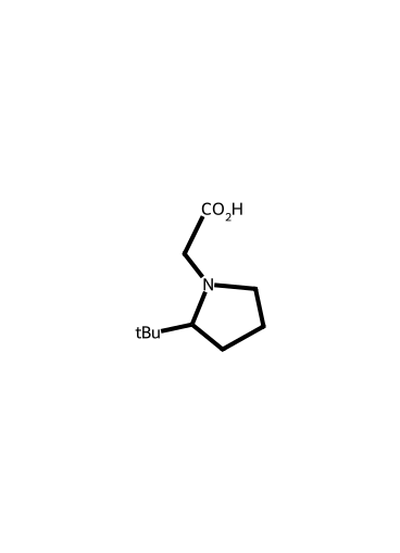 CC(C)(C)C1CCCN1CC(=O)O